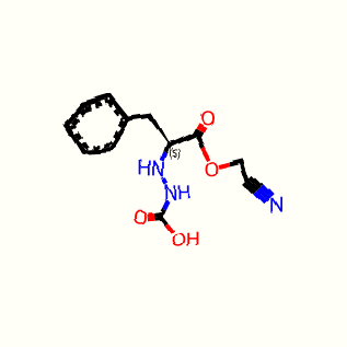 N#CCOC(=O)[C@H](Cc1ccccc1)NNC(=O)O